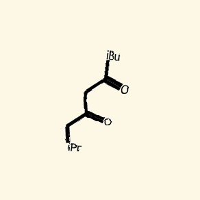 CCC(C)C(=O)CC(=O)CC(C)C